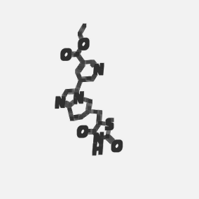 CCOC(=O)c1cncc(-c2cnc3ccc(C=C4SC(=O)NC4=O)cn23)c1